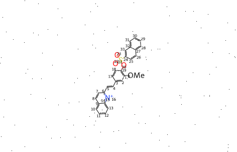 COc1cc(C=Cc2ccc3ccccc3[n+]2C)ccc1OS(=O)(=O)c1ccc2ccccc2c1